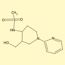 CS(=O)(=O)NC1CCN(c2ccccn2)CC1CO